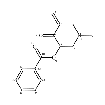 C=CC(=O)C(CN(C)C)OC(=O)c1ccccc1